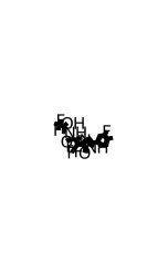 Cc1ccc(-c2cn3cc(C(=O)NCC(O)C(C)(F)F)c(C(F)(F)F)c3c(=O)[nH]2)cc1F